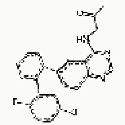 CC(=O)CNc1ncnc2ccc(-c3cccnc3-c3cc(Cl)ccc3F)cc12